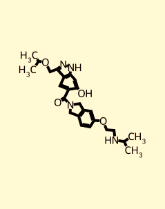 CC(C)NCCOc1ccc2c(c1)CN(C(=O)c1cc3c(COC(C)C)n[nH]c3cc1O)C2